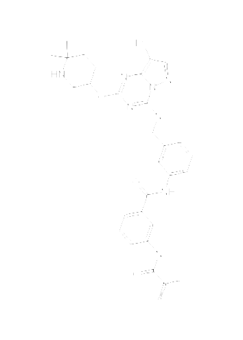 C=C(F)C(=O)Nc1cccc(C(=O)Nc2cccc(CNc3nc(OC4CCC(C)(C)NC4)nc4c(C(C)C)cnn34)c2)c1